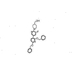 OCC1CCN(c2ncc(-c3ccc(OCc4ccccc4)nc3OCc3ccccc3)cc2F)CC1